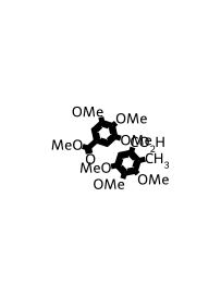 COC(=O)c1cc(OC)c(OC)c(OC)c1.COc1cc(C(=O)O)c(C)c(OC)c1OC